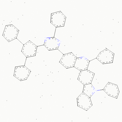 c1ccc(-c2cc(-c3ccccc3)cc(-c3cc(-c4ccc5c(c4)nc(-c4ccccc4)c4cc6c(cc45)c4ccccc4n6-c4ccccc4)nc(-c4ccccc4)n3)c2)cc1